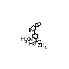 CNc1cc(C2CC3(CCN2)COC3)ccc1C(=O)OC